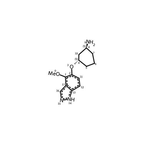 COc1c(O[C@H]2CCC[C@H](N)C2)ccc2[nH]ncc12